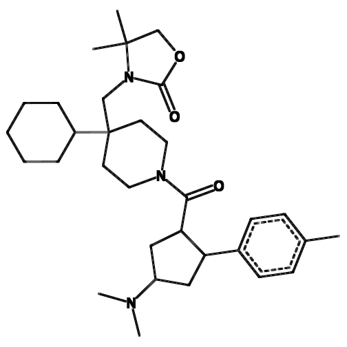 Cc1ccc(C2CC(N(C)C)CC2C(=O)N2CCC(CN3C(=O)OCC3(C)C)(C3CCCCC3)CC2)cc1